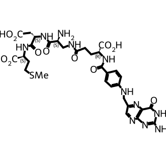 CSCC[C@H](NC(=O)[C@H](CC(=O)O)NC(=O)[C@@H](N)CNC(=O)CC[C@@H](NC(=O)c1ccc(NCc2cnc3nc(N)[nH]c(=O)c3n2)cc1)C(=O)O)C(=O)O